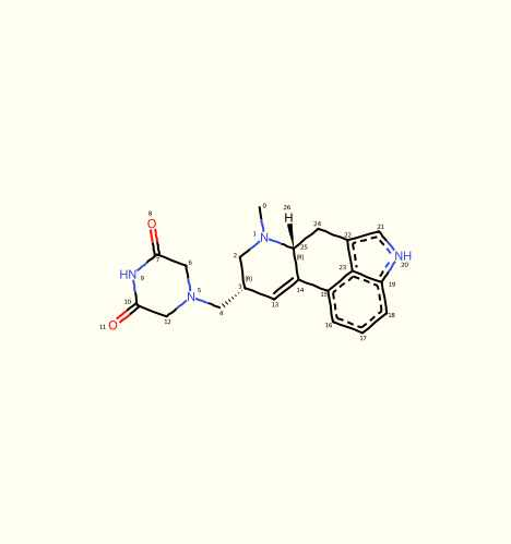 CN1C[C@@H](CN2CC(=O)NC(=O)C2)C=C2c3cccc4[nH]cc(c34)C[C@H]21